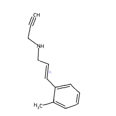 C#CCNC/C=C/c1ccccc1C